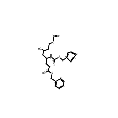 CC(CCOP=O)CC(CCC(O)OCc1ccccc1)NC(=O)OCc1ccccc1